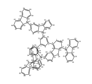 c1cc(-c2cc(-c3cnc(-n4c5ccccc5c5ccccc54)c4sc5ccc(-n6c7ccccc7c7ccccc76)cc5c34)cc(-n3c4ccccc4c4cc(-n5c6ccccc6c6ccccc65)ccc43)c2)cc(-c2cccc3c2sc2ccccc23)c1